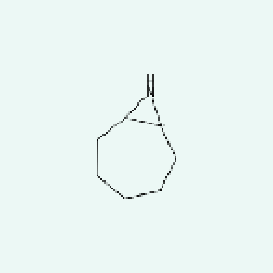 C1CC[C]2NC2CC1